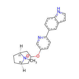 C[N+]1([O-])[C@@H]2CC[C@H]1CC(Oc1ccc(-c3ccc4[nH]ccc4c3)nc1)C2